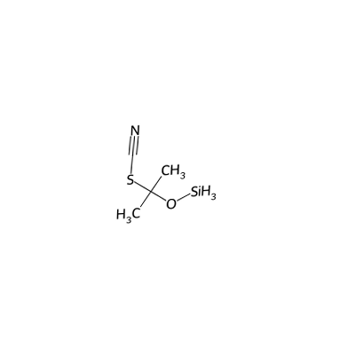 CC(C)(O[SiH3])SC#N